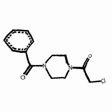 O=C(CCl)N1CCN(C(=O)c2ccccc2)CC1